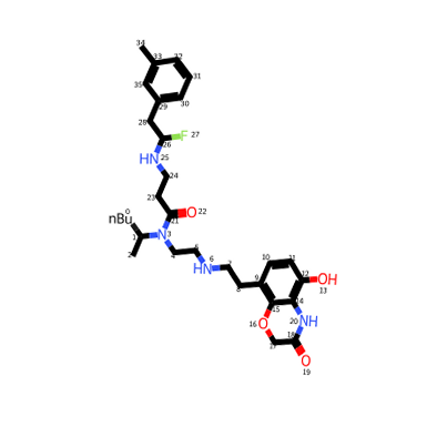 CCCCC(C)N(CCNCCc1ccc(O)c2c1OCC(=O)N2)C(=O)CCNC(F)Cc1cccc(C)c1